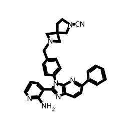 N#CN1CCC2(C1)CN(Cc1ccc(-n3c(-c4cccnc4N)nc4ccc(-c5ccccc5)nc43)cc1)C2